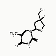 Cc1cn(C2CC(F)(CO)CO2)c(=O)[nH]c1=O